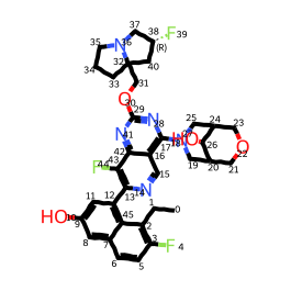 CCc1c(F)ccc2cc(O)cc(-c3ncc4c(N5CC6COCC(C5)C6O)nc(OCC56CCCN5C[C@H](F)C6)nc4c3F)c12